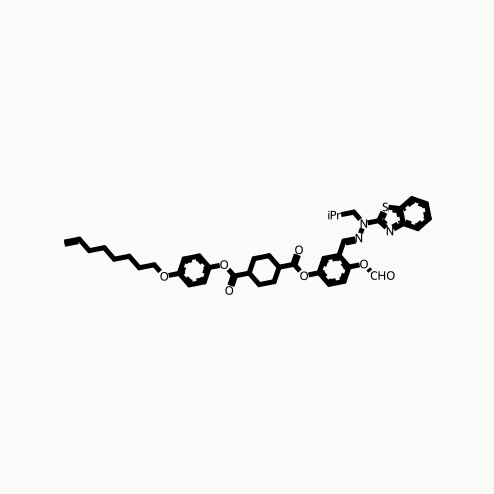 C=CCCCCCCOc1ccc(OC(=O)C2CCC(C(=O)Oc3ccc(OC=O)c(/C=N/N(CC(C)C)c4nc5ccccc5s4)c3)CC2)cc1